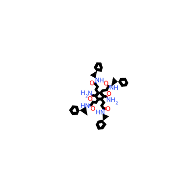 NC(=O)c1c(CCC(=O)N[C@H]2C[C@@H]2c2ccccc2)c(CCC(=O)N[C@H]2C[C@@H]2c2ccccc2)c(C(N)=O)c(CCC(=O)N[C@H]2C[C@@H]2c2ccccc2)c1CCC(=O)N[C@H]1C[C@@H]1c1ccccc1